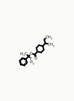 CCC(C)C1CCC(C(=O)OC(C)(C)c2ccccc2)CC1